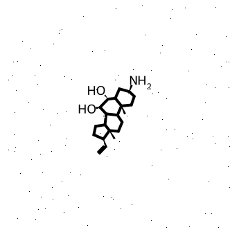 C=C[C@H]1CCC2C3C(CC[C@@]21C)[C@@]1(C)CC[C@H](N)CC1[C@@H](O)[C@@H]3O